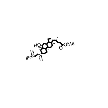 COC(=O)CC[C@@H](C)[C@H]1CCC2C3C[C@@H](O)[C@H]4C[C@H](NCCNC(C)C)CC[C@]4(C)C3CC[C@@]21C